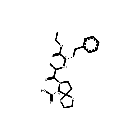 CCOC(=O)[C@H](CCc1ccccc1)NC(C)C(=O)N1CCC2(SCCS2)[C@@H]1C(=O)O